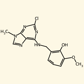 COc1cccc(CNc2nc(Cl)nc3c2ncn3C)c1O